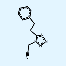 N#CCn1nnnc1SCc1ccccc1